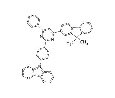 CC1(C)c2ccccc2-c2ccc(-c3cc(-c4ccccc4)nc(-c4ccc(-n5c6ccccc6c6ccccc65)cc4)n3)cc21